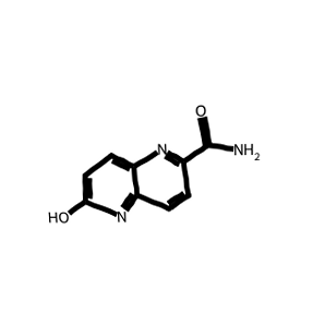 NC(=O)c1c[c]c2nc(O)ccc2n1